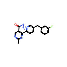 Cc1ncc(C(N)=O)c(-c2ccc(Cc3cccc(F)c3)cn2)n1